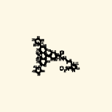 Cc1cc(C(=O)NCCCn2ccnc2[N+](=O)[O-])ccc1C1=C2C=CC(=[N+]3CCCC3)C=C2[Si](C)(C)c2cc(N3CCCC3)ccc21